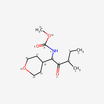 CCC(C)C(=O)C(NC(=O)OC)C1CCOCC1